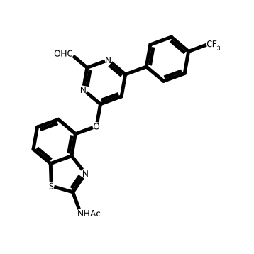 CC(=O)Nc1nc2c(Oc3cc(-c4ccc(C(F)(F)F)cc4)nc(C=O)n3)cccc2s1